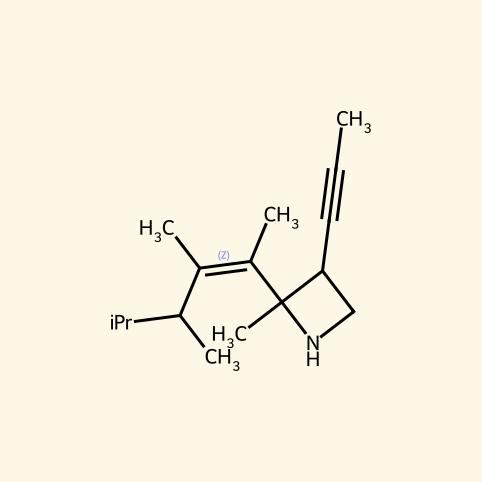 CC#CC1CNC1(C)/C(C)=C(/C)C(C)C(C)C